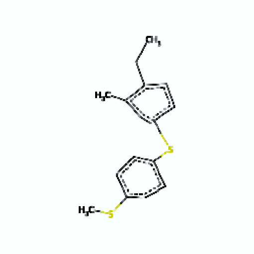 CCc1ccc(Sc2ccc(SC)cc2)cc1C